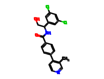 Cc1cnccc1-c1ccc(C(=O)NC(CO)c2cc(Cl)cc(Cl)c2)cc1